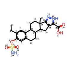 CCc1cc2c(cc1OS(N)(=O)=O)CCC1C2CCC2(C)c3n[nH]c(C(=O)O)c3CC12